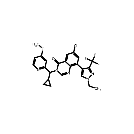 CCn1cc(-c2cc(Cl)cc3c(=O)n(C(c4cc(OC)ccn4)C4CC4)cnc23)c(C(F)(F)F)n1